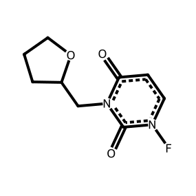 O=c1ccn(F)c(=O)n1CC1CCCO1